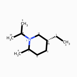 CC[C@@H]1CCC(C)N(C(C)C)C1